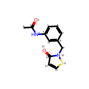 CC(=O)Nc1cccc(Cn2sccc2=O)c1